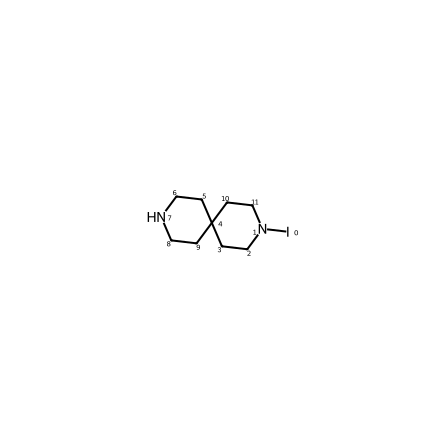 IN1CCC2(CCNCC2)CC1